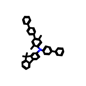 Cc1cc(N(c2ccc(-c3ccccc3)cc2)c2ccc3c(c2)C(C)(C)c2ccccc2-3)c(C)cc1-c1ccc(-c2ccccc2)cc1